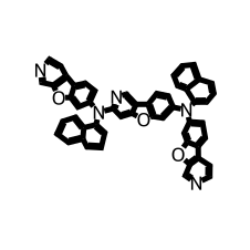 c1ccc2c(N(c3ccc4c(c3)oc3cnccc34)c3ccc4c(c3)oc3cc(N(c5ccc6c(c5)oc5cnccc56)c5cccc6ccccc56)ncc34)cccc2c1